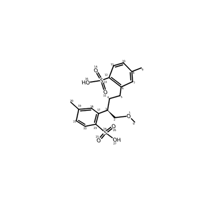 COC[C@H](CCc1cc(C)ccc1S(=O)(=O)O)c1cc(C)ccc1S(=O)(=O)O